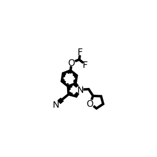 N#Cc1cn(CC2CCCO2)c2cc(OC(F)F)ccc12